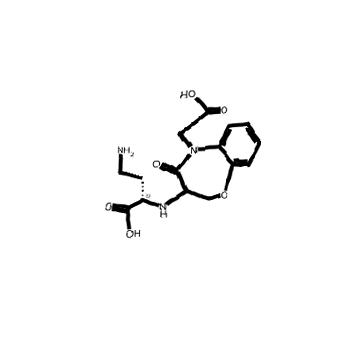 NCC[C@H](NC1COc2ccccc2N(CC(=O)O)C1=O)C(=O)O